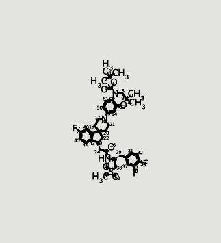 CC(C)(C)OC(=O)N1CC(C)(C)Oc2cc(N3CCC4(CC3)C[C@@H](CC(=O)N[C@H](Cc3ccc(F)c(F)c3)CS(C)(=O)=O)c3ccc(F)cc34)ccc21